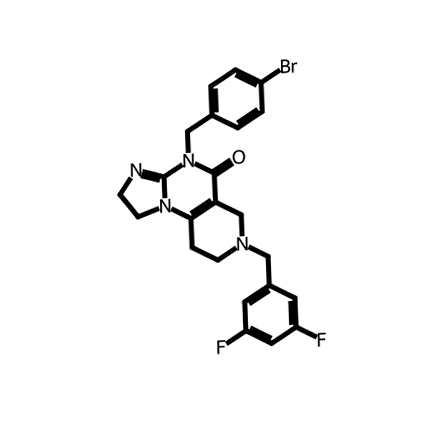 O=C1C2=C(CCN(Cc3cc(F)cc(F)c3)C2)N2CCN=C2N1Cc1ccc(Br)cc1